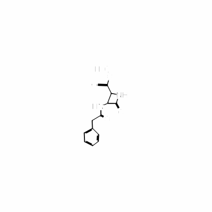 COC(=O)C1NC(=O)C1NC(=O)Cc1ccccc1